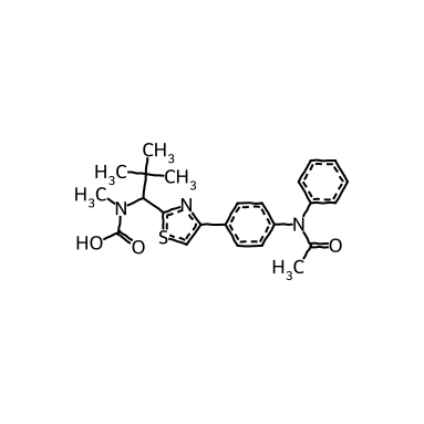 CC(=O)N(c1ccccc1)c1ccc(-c2csc(C(N(C)C(=O)O)C(C)(C)C)n2)cc1